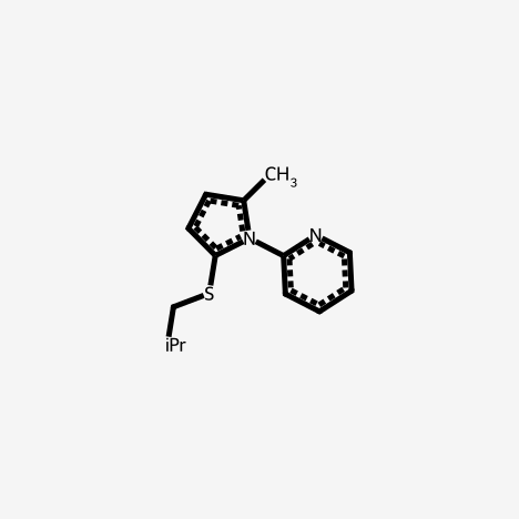 Cc1ccc(SCC(C)C)n1-c1ccccn1